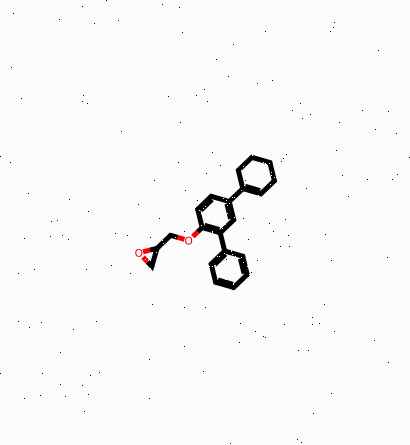 C1=C(c2ccc(OCC3CO3)c(-c3ccccc3)c2)CCCC1